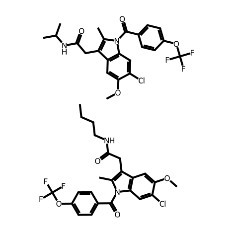 CCCCNC(=O)Cc1c(C)n(C(=O)c2ccc(OC(F)(F)F)cc2)c2cc(Cl)c(OC)cc12.COc1cc2c(CC(=O)NC(C)C)c(C)n(C(=O)c3ccc(OC(F)(F)F)cc3)c2cc1Cl